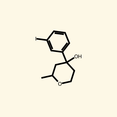 CC1CC(O)(c2cccc(I)c2)CCO1